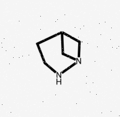 [CH]1C2CCNN1C2